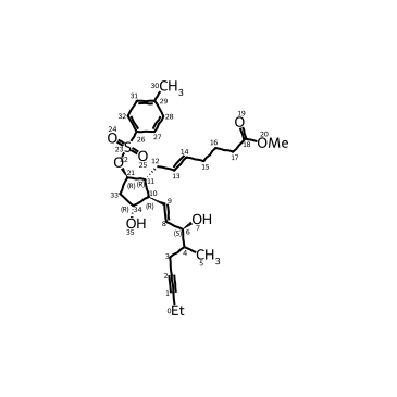 CCC#CCC(C)[C@H](O)C=C[C@@H]1[C@@H](CC=CCCCC(=O)OC)[C@H](OS(=O)(=O)c2ccc(C)cc2)C[C@H]1O